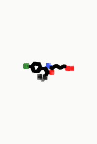 Cc1oc(CCCO)nc1-c1ccc(Cl)cc1